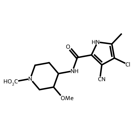 COC1CN(C(=O)O)CCC1NC(=O)c1[nH]c(C)c(Cl)c1C#N